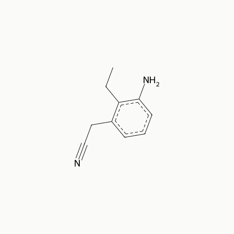 CCc1c(N)cccc1CC#N